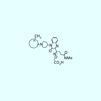 CNC(=O)CC/C(=N\OCC(=O)O)c1nc2ccccc2n(C2CCN([C@@H]3CCCCCC[C@@H](C)C3)CC2)c1=O